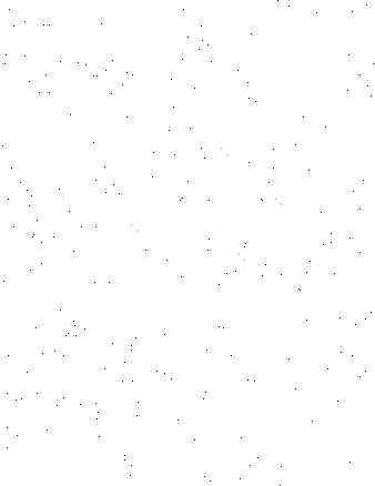 C=CCCCN1C(=O)N=C(NC2CCCCC2)C12CCN(C(=O)O)CC2